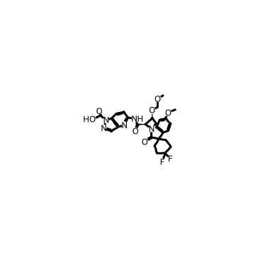 COCO[C@@H]1CN(C(=O)C2(c3ccc(OC)cc3)CCC(F)(F)CC2)[C@H]1C(=O)Nc1ccc2c(cnn2C(=O)O)n1